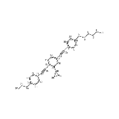 CCCCCCc1ccc(C#Cc2ccc(C#Cc3ccc(CCC)cc3)c(C3CC3)c2)cc1